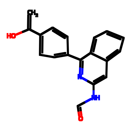 C=C(O)c1ccc(-c2nc(NC=O)cc3ccccc23)cc1